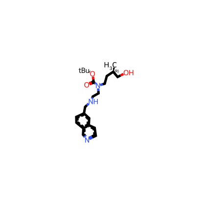 C[C@@H](CO)CCN(CCNCc1ccc2cnccc2c1)C(=O)OC(C)(C)C